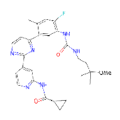 COC(C)(C)CCNC(=O)Nc1cc(-c2ccnc(-c3ccnc(NC(=O)C4CC4)c3)n2)c(C)cc1F